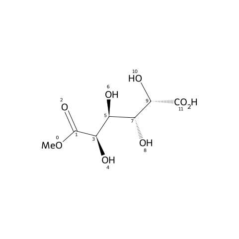 COC(=O)[C@H](O)[C@@H](O)[C@@H](O)[C@H](O)C(=O)O